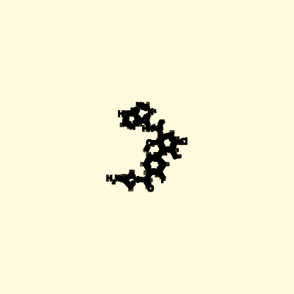 COc1c(C(C)Nc2ncnc3[nH]cnc23)cc(Cl)c(C)c1-c1ccc(C(=O)N2CC(N)C2)c(F)c1